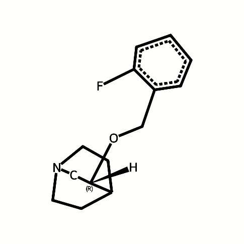 Fc1ccccc1CO[C@H]1CN2CCC1CC2